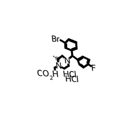 C[C@@H]1CN(C(c2ccc(F)cc2)c2cccc(Br)c2)CCN1CC(=O)O.Cl.Cl